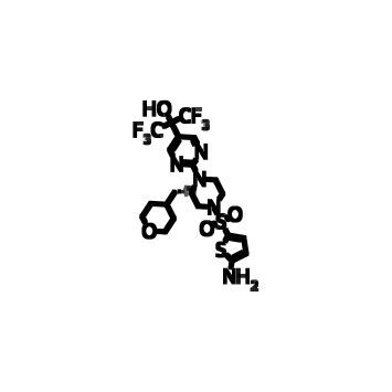 Nc1ccc(S(=O)(=O)N2CCN(c3ncc(C(O)(C(F)(F)F)C(F)(F)F)cn3)[C@@H](CC3CCOCC3)C2)s1